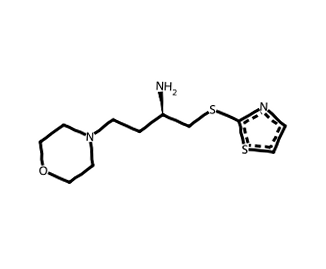 N[C@H](CCN1CCOCC1)CSc1nccs1